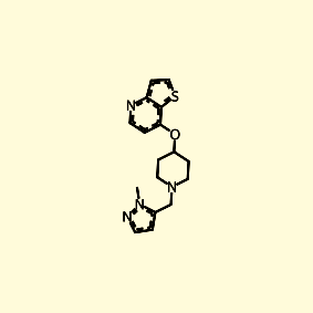 Cn1nccc1CN1CCC(Oc2ccnc3ccsc23)CC1